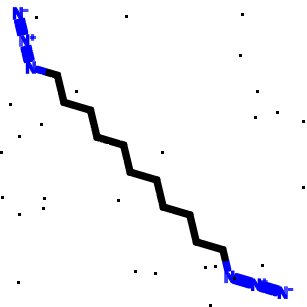 [N-]=[N+]=NCCCCCCCCCCCN=[N+]=[N-]